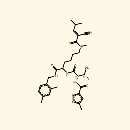 Cc1ccc(CNC(=O)C(CCCCN(C)C(=O)C(C#N)=CC(C)C)NC(=O)[C@@H](NC(=O)c2cc(C)on2)[C@@H](C)O)c(F)c1